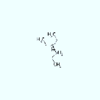 CC[SiH2][SiH](CC)CC